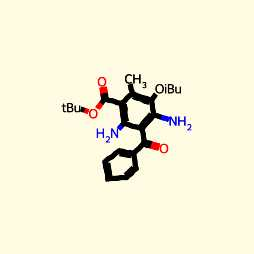 Cc1c(OCC(C)C)c(N)c(C(=O)c2ccccc2)c(N)c1C(=O)OC(C)(C)C